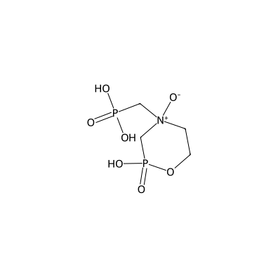 O=P(O)(O)C[N+]1([O-])CCOP(=O)(O)C1